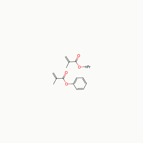 C=C(C)C(=O)OCCC.C=C(C)C(=O)Oc1ccccc1